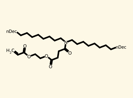 C=CC(=O)OCCOC(=O)CCC(=O)N(CCCCCCCCCCCCCCCCCC)CCCCCCCCCCCCCCCCCC